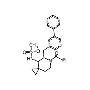 CC(C)C(=O)N1CCC2(CC2)C(NS(C)(=O)=O)C1Cc1cccc(-c2ccccc2)c1